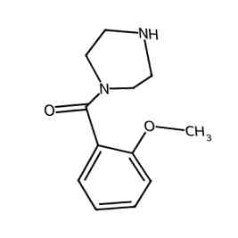 COc1ccccc1C(=O)N1CCNCC1